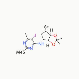 CSc1nc(C)c(I)c(N[C@@H]2C[C@H](C(C)=O)[C@H]3OC(C)(C)O[C@H]32)n1